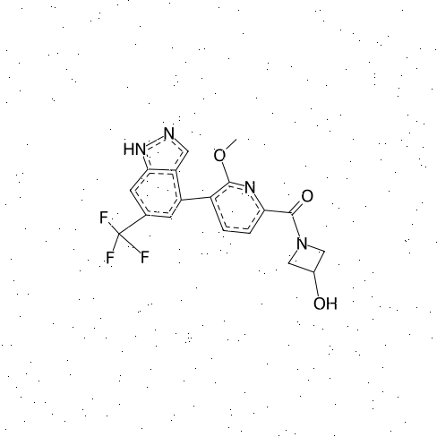 COc1nc(C(=O)N2CC(O)C2)ccc1-c1cc(C(F)(F)F)cc2[nH]ncc12